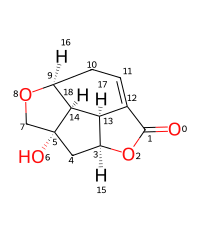 O=C1O[C@H]2C[C@@]3(O)CO[C@H]4CC=C1[C@@H]2[C@H]43